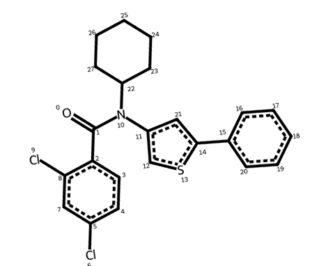 O=C(c1ccc(Cl)cc1Cl)N(c1csc(-c2ccccc2)c1)C1CCCCC1